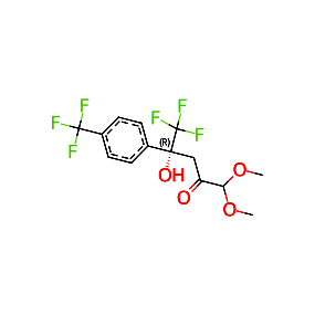 COC(OC)C(=O)C[C@@](O)(c1ccc(C(F)(F)F)cc1)C(F)(F)F